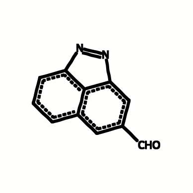 O=Cc1cc2c3c(cccc3c1)N=N2